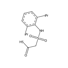 CC(C)c1cccc(C(C)C)c1NS(=O)(=O)CC(=O)S